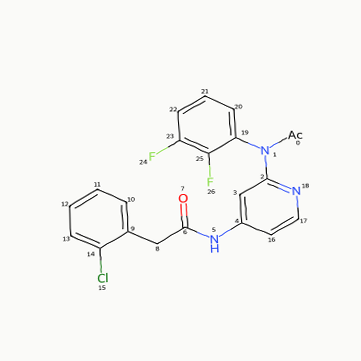 CC(=O)N(c1cc(NC(=O)Cc2ccccc2Cl)ccn1)c1cccc(F)c1F